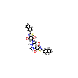 CN(C1CCN1C1=CC(=O)c2nc(-c3ccc4ccccc4c3)sc2C1=O)C1CCN1C1=CC(=O)c2nc(-c3ccc4ccccc4c3)sc2C1=O